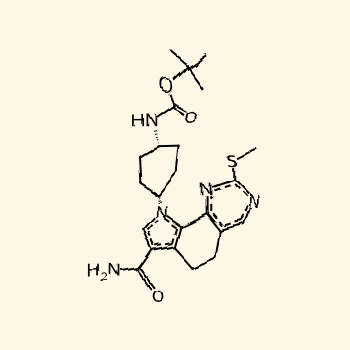 CSc1ncc2c(n1)-c1c(c(C(N)=O)cn1[C@H]1CC[C@@H](NC(=O)OC(C)(C)C)CC1)CC2